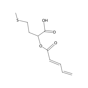 C=CC=CC(=O)OC(CCSC)C(=O)O